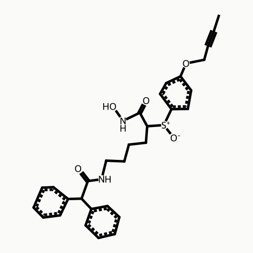 CC#CCOc1ccc([S+]([O-])C(CCCCNC(=O)C(c2ccccc2)c2ccccc2)C(=O)NO)cc1